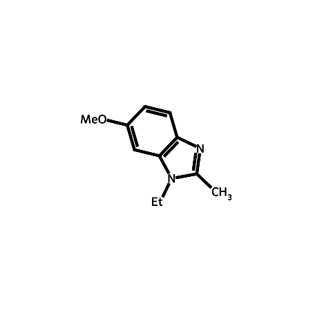 CCn1c(C)nc2ccc(OC)cc21